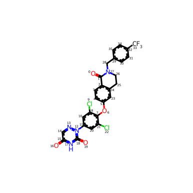 O=C1c2ccc(Oc3c(Cl)cc(-n4ncc(=O)[nH]c4=O)cc3Cl)cc2CCN1Cc1ccc(C(F)(F)F)cc1